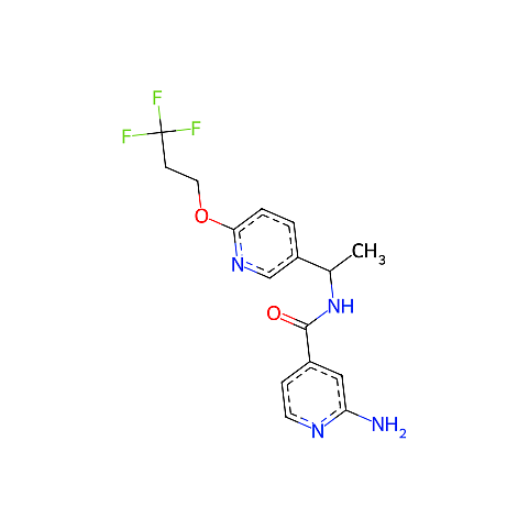 CC(NC(=O)c1ccnc(N)c1)c1ccc(OCCC(F)(F)F)nc1